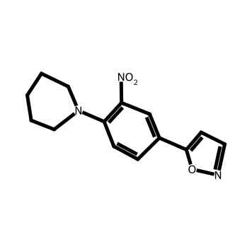 O=[N+]([O-])c1cc(-c2ccno2)ccc1N1CCCCC1